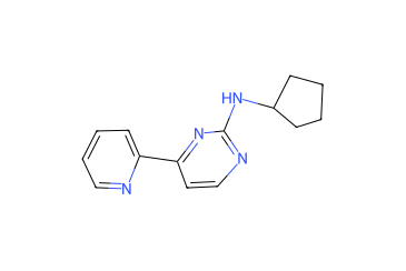 c1ccc(-c2ccnc(NC3CCCC3)n2)nc1